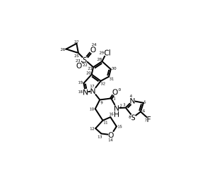 O=C(Nc1ncc(F)s1)C(CC1CCOCC1)n1ncc2c(S(=O)(=O)C3CC3)c(Cl)ccc21